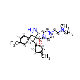 Cc1ccc(CC(CN)(Cc2ccc(C(F)(F)F)cc2)C(=O)N2CCN(CCN(C)C)CC2)cc1